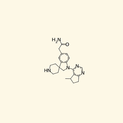 CC1CCc2ncnc(N3CC4(CCNCC4)c4cc(CC(N)=O)ccc43)c21